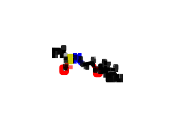 CC(C)[S@@+]([O-])/N=C/CO[Si](C)(C)C(C)(C)C